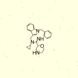 N=C(C1CNCCO1)N(Cc1cn(Cc2ccccc2)c2ccccc12)C1CC1